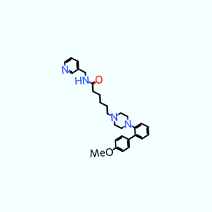 COc1ccc(-c2ccccc2N2CCN(CCCCCC(=O)NCc3cccnc3)CC2)cc1